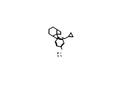 COC1(c2ccc(OS(=O)(=O)C(F)(F)F)cc2)C2CCCC1CN(CC1CC1)C2